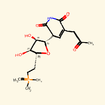 C=P(C)(C)CC[C@H]1O[C@@H](C2C=C(CC(C)=O)C(=O)NC2=O)[C@H](O)[C@@H]1O